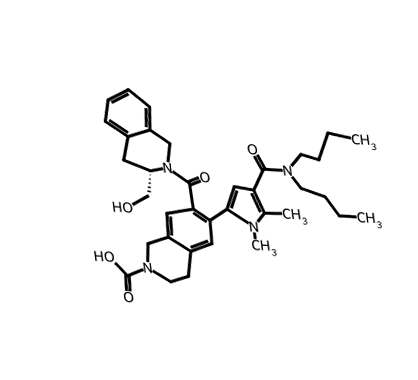 CCCCN(CCCC)C(=O)c1cc(-c2cc3c(cc2C(=O)N2Cc4ccccc4C[C@H]2CO)CN(C(=O)O)CC3)n(C)c1C